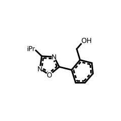 CC(C)c1noc(-c2ccccc2CO)n1